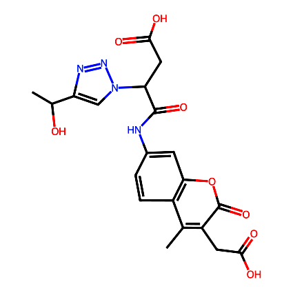 Cc1c(CC(=O)O)c(=O)oc2cc(NC(=O)C(CC(=O)O)n3cc(C(C)O)nn3)ccc12